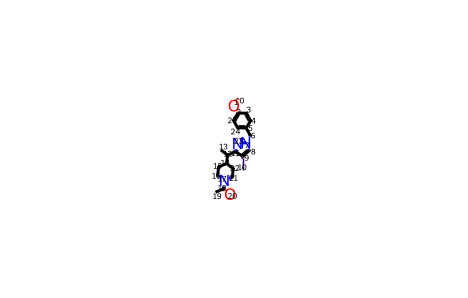 COc1ccc(Cn2cc(I)c(C(C)C3CCN(C(C)=O)CC3)n2)cc1